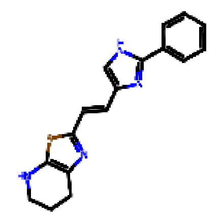 C(=Cc1nc2c(s1)NCCC2)c1c[nH]c(-c2ccccc2)n1